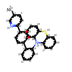 N#Cc1ccc(-c2ccc(-c3ccccc3N3c4ccccc4Sc4ccccc43)cc2)nc1